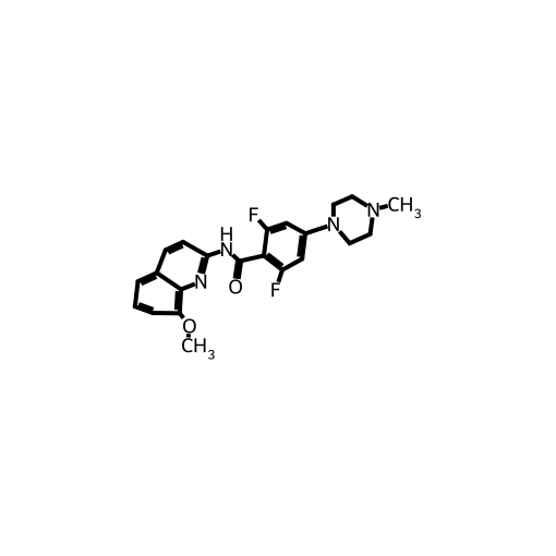 COc1cccc2ccc(NC(=O)c3c(F)cc(N4CCN(C)CC4)cc3F)nc12